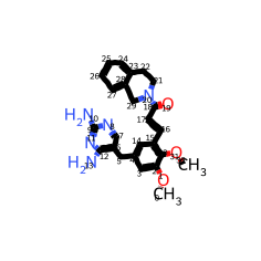 COc1cc(Cc2cnc(N)nc2N)cc(C=CC(=O)N2CCc3ccccc3C2)c1OC